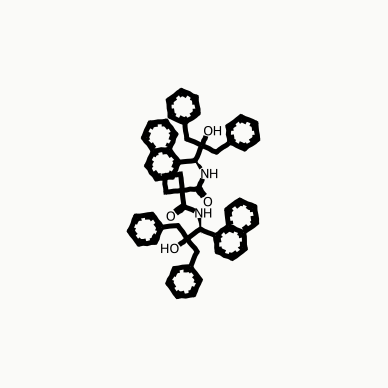 O=C(N[C@@H](c1cccc2ccccc12)C(O)(Cc1ccccc1)Cc1ccccc1)C1(C(=O)N[C@@H](c2cccc3ccccc23)C(O)(Cc2ccccc2)Cc2ccccc2)CCC1